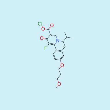 COCCCOc1ccc2c(c1)CC(C(C)C)n1cc(C(=O)OCl)c(=O)c(F)c1-2